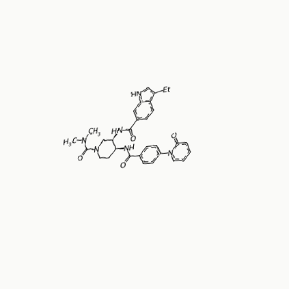 CCc1c[nH]c2cc(C(=O)N[C@@H]3CN(C(=O)N(C)C)CC[C@@H]3NC(=O)c3ccc(-n4ccccc4=O)cc3)ccc12